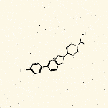 CC(C)OC(=O)N1CCC(C2Cc3cc(-c4ccc(N)cc4)ccc3O2)CC1